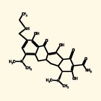 CN(C)c1cc(CNCC(F)(F)F)c(O)c2c1CC1CC3C(C(=O)C(C(N)=O)=C(O)[C@H]3N(C)C)C(O)=C1C2=O